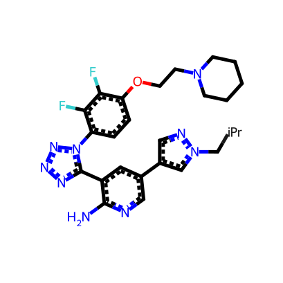 CC(C)Cn1cc(-c2cnc(N)c(-c3nnnn3-c3ccc(OCCN4CCCCC4)c(F)c3F)c2)cn1